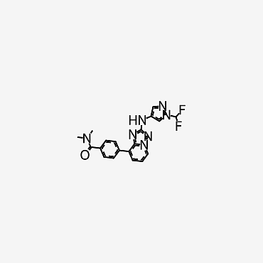 CN(C)C(=O)c1ccc(-c2cccn3nc(Nc4cnn(C(F)F)c4)nc23)cc1